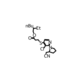 CCCCC(CC)COC(=O)CCSc1ccnc(N2CCCC2CC#N)c1Cl